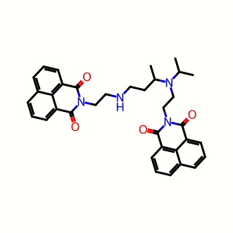 CC(C)N(CCN1C(=O)c2cccc3cccc(c23)C1=O)C(C)CCNCCN1C(=O)c2cccc3cccc(c23)C1=O